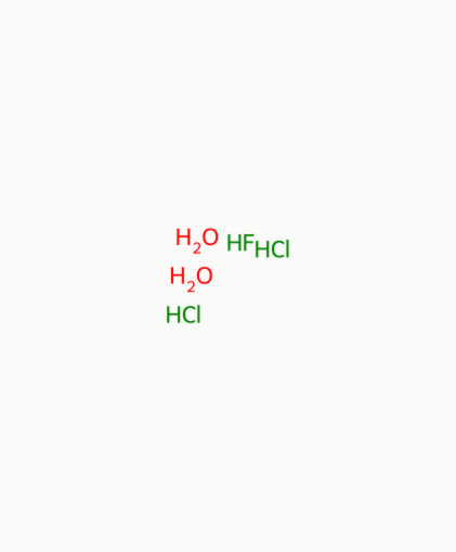 Cl.Cl.F.O.O